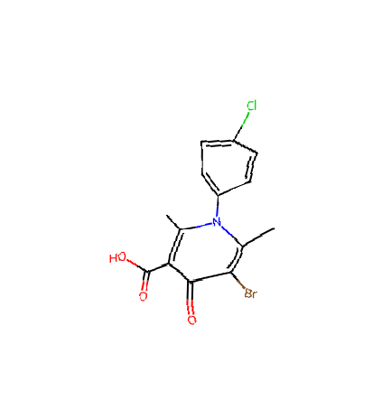 Cc1c(Br)c(=O)c(C(=O)O)c(C)n1-c1ccc(Cl)cc1